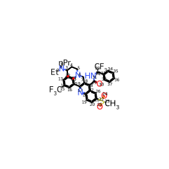 CCCN(CC)C1CCN(Cc2c(-c3cccc(C(F)(F)F)c3)nc3ccc(S(C)(=O)=O)cc3c2C(=O)N[C@H](c2ccccc2)C(F)(F)F)CC1